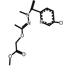 C=C(c1ccc(Cl)cn1)N(C)/N=C(\C)OCC(=O)OC